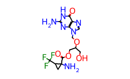 Nc1nc2c(ncn2COC(CO)COC(=O)C2(N)CC2C(F)(F)F)c(=O)[nH]1